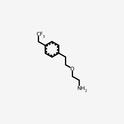 NCCOCCc1ccc(CC(F)(F)F)cc1